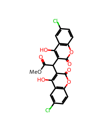 COC(=O)C(c1c(O)c2cc(Cl)ccc2oc1=O)c1c(O)c2cc(Cl)ccc2oc1=O